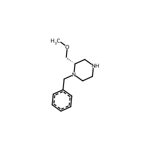 COC[C@@H]1CNCCN1Cc1ccccc1